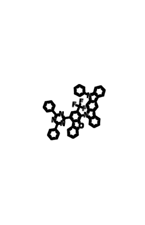 FC(F)(F)c1cc(-c2nc(-c3ccccc3)nc(-c3ccccc3)n2)c2c(oc3ccccc32)c1-n1c2ccccc2c2cc3c4ccccc4n(-c4ccccc4)c3cc21